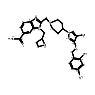 CCc1cn(C2CCN(Cc3nc4ccc(C(=O)OC)cc4n3CC3CCO3)CC2)nc1OCc1ccc(C#N)cc1F